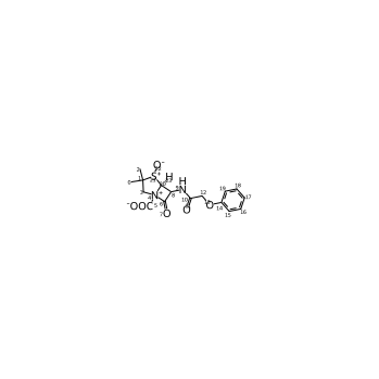 CC1(C)C[N+]2(C(=O)[O-])C(=O)C(NC(=O)COc3ccccc3)[C@@H]2[S+]1[O-]